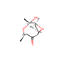 C[C@H]1O[C@](C)(O)[C@H]2O[C@H]2C1=O